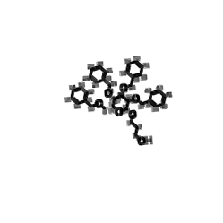 OCCCO[C@@H]1O[C@H](COCc2ccccc2)[C@H](OCc2ccccc2)[C@H](OCc2ccccc2)[C@H]1OCc1ccccc1